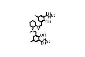 CCNC(C)c1cc(C)cc(CN(C)C2CCCCC2N(C)Cc2cc(C)cc(C(C)NCC)c2O)c1O